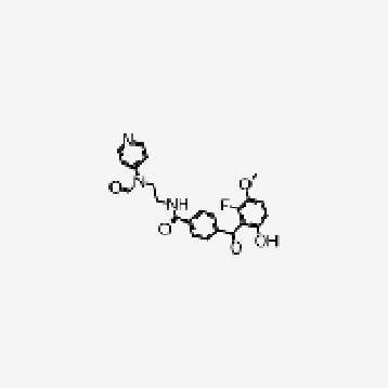 COc1ccc(O)c(C(=O)c2ccc(C(=O)NCCN(C=O)c3ccncc3)cc2)c1F